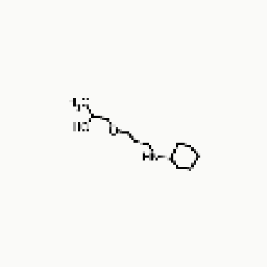 CC(O)COCCCNC1CCCCC1